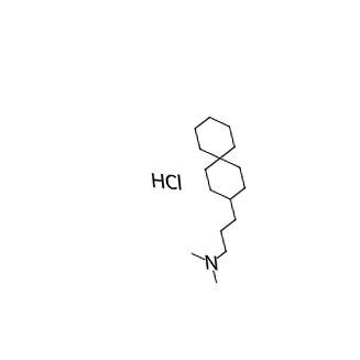 CN(C)CCCC1CCC2(CCCCC2)CC1.Cl